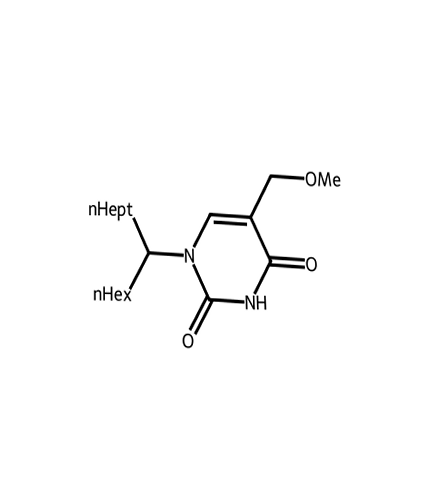 CCCCCCCC(CCCCCC)n1cc(COC)c(=O)[nH]c1=O